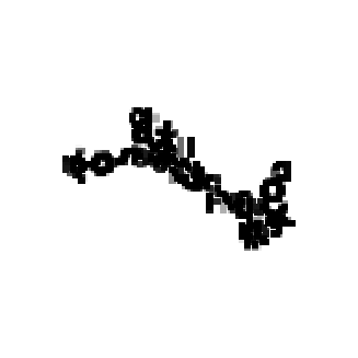 Cc1ncsc1-c1ccc(CCC(=O)[C@@H]2CC(O)CC2C(=O)[C@@H](NC(=O)c2cn3cc(OCCNC(=O)CC4N=C(c5ccc(Cl)cc5)c5c(sc(C)c5C)-n5c(C)nnc54)ccc3n2)C(C)(C)C)cc1